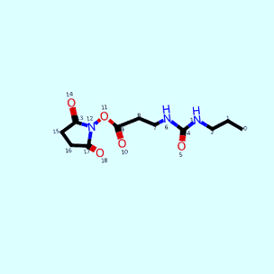 CCCNC(=O)NCCC(=O)ON1C(=O)CCC1=O